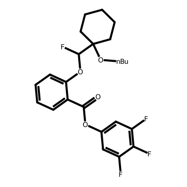 CCCCOC1(C(F)Oc2ccccc2C(=O)Oc2cc(F)c(F)c(F)c2)CCCCC1